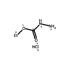 CCOC(=O)NN.Cl